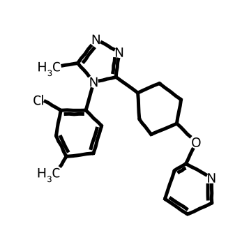 Cc1ccc(-n2c(C)nnc2C2CCC(Oc3ccccn3)CC2)c(Cl)c1